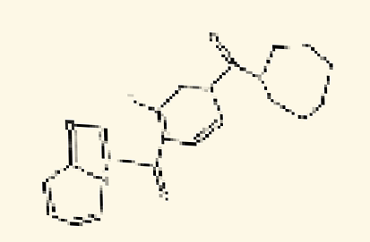 O=C(c1ccc(C(=O)N2CCCCCC2)cc1F)c1cnc2ccccn12